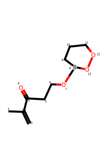 C=C(C)C(=O)CCOB1CCCOO1